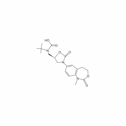 CN1C(=O)OCCc2cc(N3C[C@@H](CN(C(=O)O)C(C)(C)C)OC3=O)ccc21